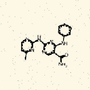 Cc1ccnc(Nc2ncc(C(N)=O)c(Nc3ccccc3)n2)n1